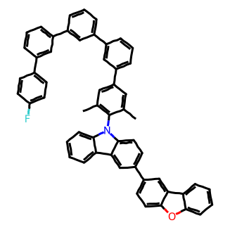 Cc1cc(-c2cccc(-c3cccc(-c4cccc(-c5ccc(F)cc5)c4)c3)c2)cc(C)c1-n1c2ccccc2c2cc(-c3ccc4oc5ccccc5c4c3)ccc21